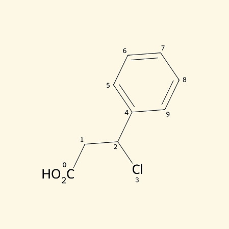 O=C(O)CC(Cl)c1ccccc1